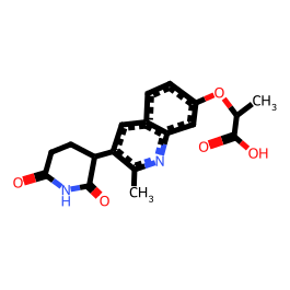 Cc1nc2cc(OC(C)C(=O)O)ccc2cc1C1CCC(=O)NC1=O